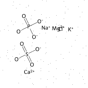 O=P([O-])([O-])[O-].O=S(=O)([O-])[O-].[Ca+2].[Cl-].[K+].[Mg+2].[Na+]